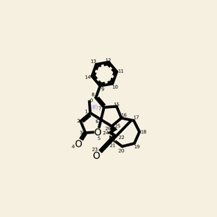 CC1=CC(=O)OC12/C(=C/c1ccccc1)CC1CCCCN3C(=O)CCC132